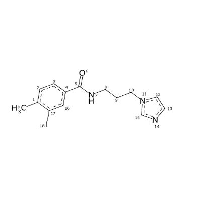 Cc1ccc(C(=O)NCCCn2ccnc2)cc1I